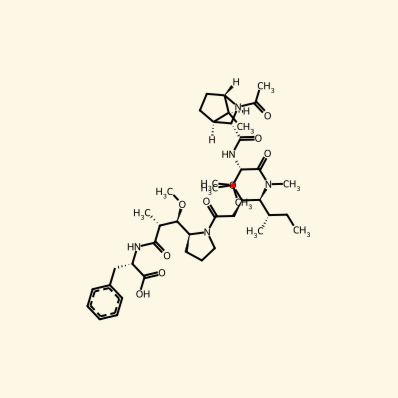 CC[C@H](C)[C@@H]([C@@H](CC(=O)N1CCC[C@H]1[C@H](OC)[C@@H](C)C(=O)N[C@@H](Cc1ccccc1)C(=O)O)OC)N(C)C(=O)[C@@H](NC(=O)[C@@H]1[C@H]2CC[C@@H]([C@H]2C)N1C(C)=O)C(C)C